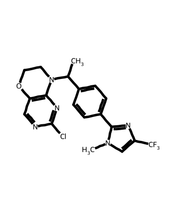 CC(c1ccc(-c2nc(C(F)(F)F)cn2C)cc1)N1CCOc2cnc(Cl)nc21